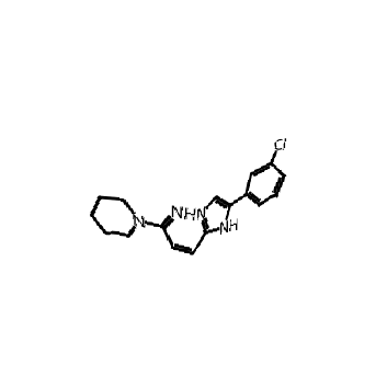 N=C(/C=C\c1ncc(-c2cccc(Cl)c2)[nH]1)N1CCCCC1